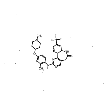 Cc1nc(OC2CCN(C)CC2)ccc1Nc1ncc2c(n1)C1C=CC(C(F)(F)F)=CC1NC(=S)C2